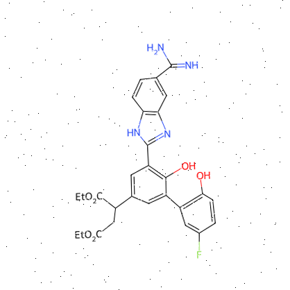 CCOC(=O)CC(C(=O)OCC)c1cc(-c2nc3cc(C(=N)N)ccc3[nH]2)c(O)c(-c2cc(F)ccc2O)c1